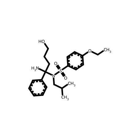 CCOc1ccc(S(=O)(=O)N(CC(C)C)C(N)(CCCO)c2ccccc2)cc1